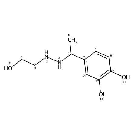 CC(NNCCO)c1ccc(O)c(O)c1